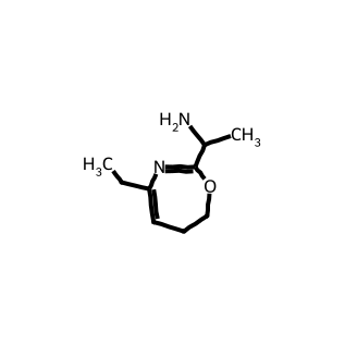 CCC1=CCCOC(C(C)N)=N1